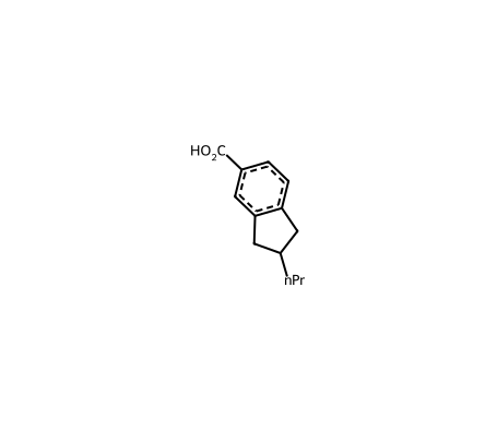 CCCC1Cc2ccc(C(=O)O)cc2C1